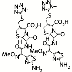 CO/N=C(\C(=O)N[C@@H]1C(=O)N2C(C(=O)O)=C(CSc3nnnn3C)CS[C@H]12)c1csc(N)n1.CO/N=C(\C(=O)N[C@@H]1C(=O)N2C(C(=O)O)=C(CSc3nnnn3C)CS[C@H]12)c1csc(N)n1